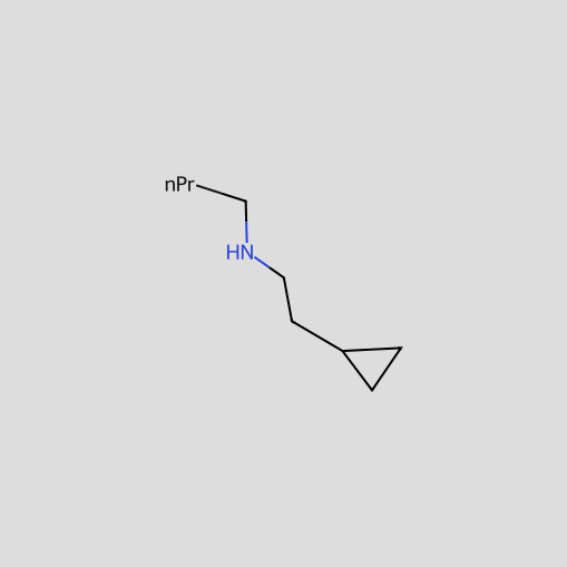 [CH2]CCCNCCC1CC1